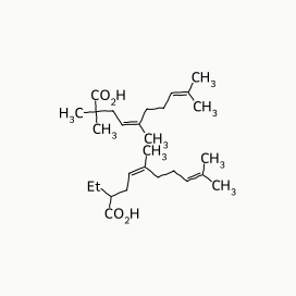 CC(C)=CCC/C(C)=C\CC(C)(C)C(=O)O.CCC(C/C=C(/C)CCC=C(C)C)C(=O)O